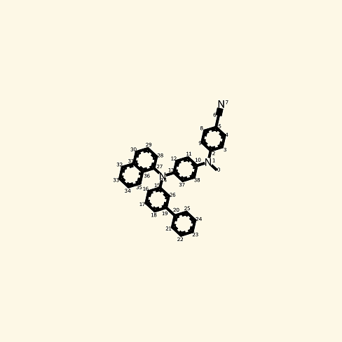 CN(c1ccc(C#N)cc1)c1ccc(N(c2cccc(-c3ccccc3)c2)c2cccc3ccccc23)cc1